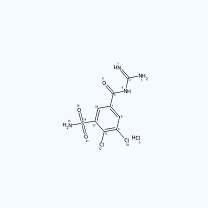 Cl.N=C(N)NC(=O)c1cc(Cl)c(Cl)c(S(N)(=O)=O)c1